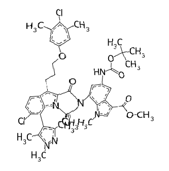 COC(=O)c1cn(C)c2c(N3C[C@@H](C)n4c(c(CCCOc5cc(C)c(Cl)c(C)c5)c5ccc(Cl)c(-c6c(C)nn(C)c6C)c54)C3=O)cc(NC(=O)OC(C)(C)C)cc12